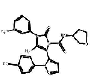 Cc1c(-c2ccnn2-c2ccc(C#N)cc2)n(C(=O)N[C@H]2CCOC2)c(=O)n1-c1cccc(C(F)(F)F)c1